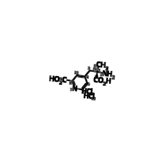 C[C@](N)(Cc1ccnc(C(=O)O)c1)C(=O)O.Cl.Cl